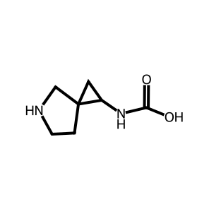 O=C(O)NC1CC12CCNC2